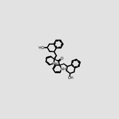 O=C(C1(CC2CC(O)Cc3ccccc32)C=CC=CN1)C1(CC2CC(O)Cc3ccccc32)C=CC=CN1